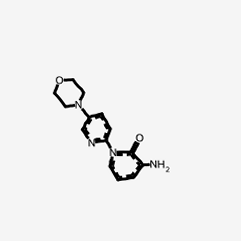 Nc1cccn(-c2ccc(N3CCOCC3)cn2)c1=O